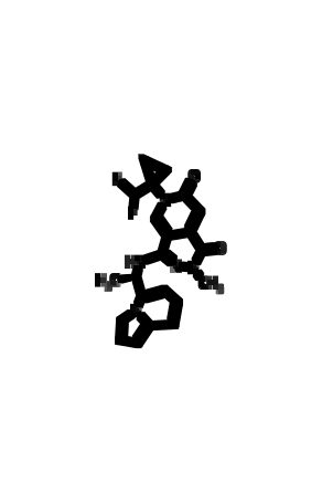 C[C@@H](Nc1nn(C)c(=O)c2cc(=O)n(C3(C(F)F)CC3)cc12)c1cccc2cccn12